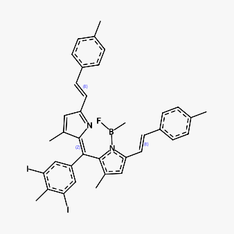 CB(F)n1c(/C=C/c2ccc(C)cc2)cc(C)c1/C(=C1N=C(/C=C/c2ccc(C)cc2)C=C\1C)c1cc(I)c(C)c(I)c1